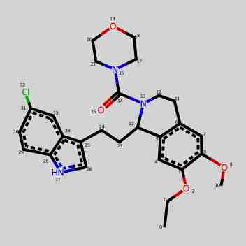 CCOc1cc2c(cc1OC)CCN(C(=O)N1CCOCC1)C2CCc1c[nH]c2ccc(Cl)cc12